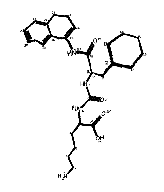 NCCCCC(NC(=O)N[C@H](CC1CCCCC1)C(=O)NC1=CCCc2ccccc21)C(=O)O